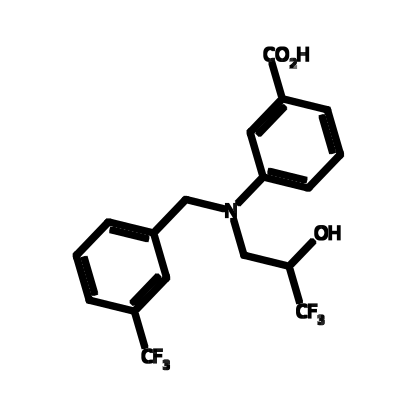 O=C(O)c1cccc(N(Cc2cccc(C(F)(F)F)c2)CC(O)C(F)(F)F)c1